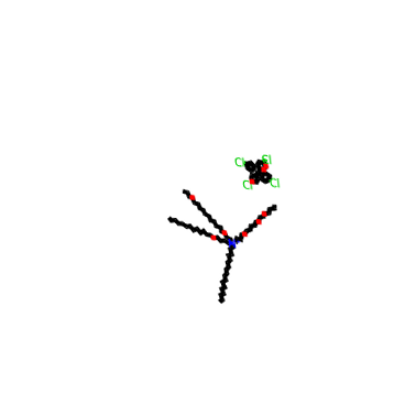 CCCCCCCCCCCCCCCCCC[N+](CCCCCCCCCCCCCCCCCC)(CCCCCCCCCCCCCCCCCC)CCCCCCCCCCCCCCCCCC.Clc1ccc([B-](c2ccc(Cl)cc2)(c2ccc(Cl)cc2)c2ccc(Cl)cc2)cc1